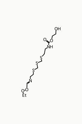 CCOO/C=N/CCSCSCSCCNC(=O)OCCO